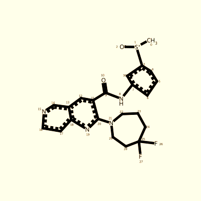 C[S+]([O-])c1cccc(NC(=O)c2cc3cnccc3nc2N2CCCC(F)(F)CC2)c1